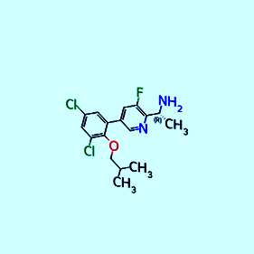 CC(C)COc1c(Cl)cc(Cl)cc1-c1cnc([C@@H](C)N)c(F)c1